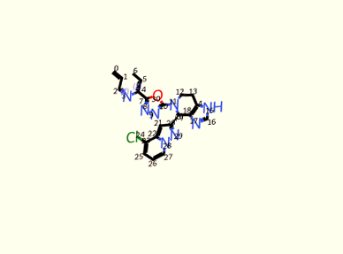 C=C/C=N\C(=C/C)c1nnc(N2CCc3[nH]cnc3[C@H]2c2cc3c(Cl)cccn3n2)o1